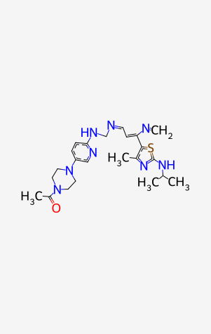 C=N/C(=C\C=N/CNc1ccc(N2CCN(C(C)=O)CC2)cn1)c1sc(NC(C)C)nc1C